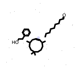 CC1/C=C\CC(C)CCC(C)(C)CCC1.CCCCCCCCC=O.OCCc1ccccc1